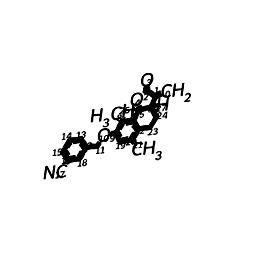 C=C1C(=O)O[C@H]2c3c(C)c(OCc4cccc(C#N)c4)cc(C)c3CC[C@@H]12